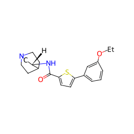 CCOc1cccc(-c2ccc(C(=O)N[C@H]3CN4CCC3CC4)s2)c1